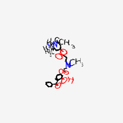 CN(CCC(=O)Oc1ccc(C(=O)c2ccccc2)c(O)c1)CCC(=O)OC1CC(C)(C)NC(C)(C)C1